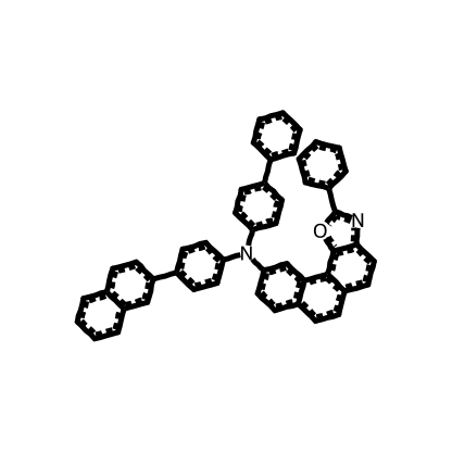 c1ccc(-c2ccc(N(c3ccc(-c4ccc5ccccc5c4)cc3)c3ccc4ccc5ccc6nc(-c7ccccc7)oc6c5c4c3)cc2)cc1